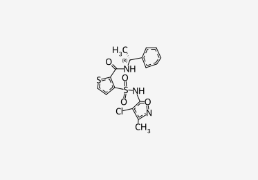 Cc1noc(NS(=O)(=O)c2ccsc2C(=O)N[C@H](C)c2ccccc2)c1Cl